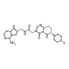 Nc1nccc2[nH]c(CNC(=O)Cn3cnc4c(c3=O)N[C@H](c3ccc(F)cc3)CC4)cc12